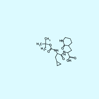 CC(C)(C)OC(=O)NC(CC1CC1)C(=O)NC(CC1CCCNC1=O)C(=O)O